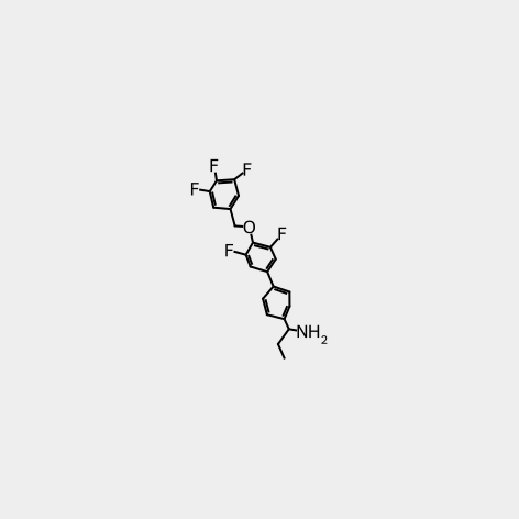 CCC(N)c1ccc(-c2cc(F)c(OCc3cc(F)c(F)c(F)c3)c(F)c2)cc1